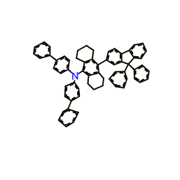 c1ccc(-c2ccc(N(c3ccc(-c4ccccc4)cc3)c3c4c(c(-c5ccc6c(c5)C(c5ccccc5)(c5ccccc5)c5ccccc5-6)c5c3CCCC5)CCCC4)cc2)cc1